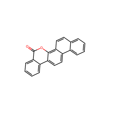 O=c1oc2c(ccc3c4ccccc4ccc32)c2ccccc12